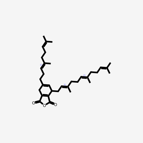 CC(C)=CCC/C(C)=C/CCC1=CC(C/C=C(\C)CC/C=C(\C)CCC=C(C)C)C2=C(C1)C(=O)OC2=O